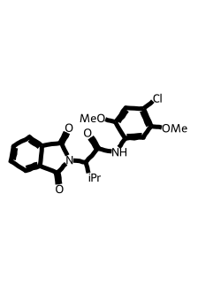 COc1cc(NC(=O)C(C(C)C)N2C(=O)c3ccccc3C2=O)c(OC)cc1Cl